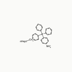 CCCCCCCC.[NH4+].c1ccc([B-](c2ccccc2)(c2ccccc2)c2ccccc2)cc1